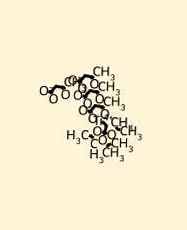 CC(=O)CC(=O)[O-].CC(=O)CC(=O)[O-].CC(=O)CC(=O)[O-].CC(=O)CC(=O)[O-].CC(C)OC([CH2][Ti+4])(OC(C)C)OC(C)C